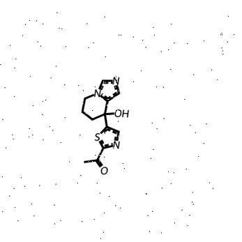 CC(=O)c1ncc(C2(O)CCCn3cncc32)s1